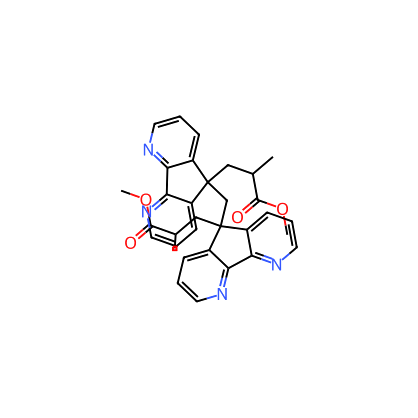 COC(=O)C(C)CC1(CC2(CC(C)C(=O)OC)c3cccnc3-c3ncccc32)c2cccnc2-c2ncccc21